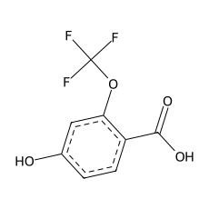 O=C(O)c1ccc(O)cc1OC(F)(F)F